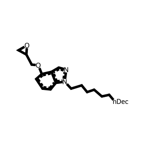 CCCCCCCCCCCCCCCCn1ncc2c(OCC3CO3)cccc21